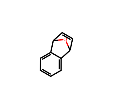 C1=CC2OC1c1ccccc12